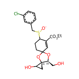 CCOC(=O)C1=CC2(CCC1[S+]([O-])Cc1cccc(Cl)c1)O[C@@H](CO)[C@@]1(CC1O)O2